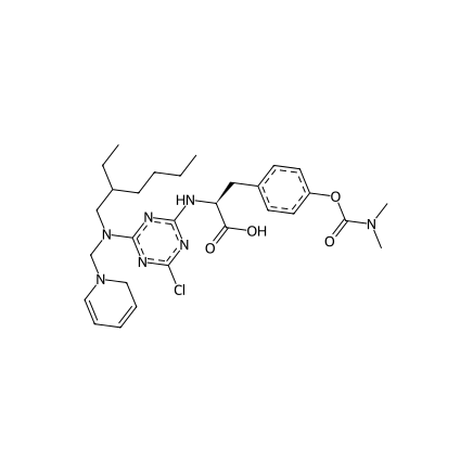 CCCCC(CC)CN(CN1C=CC=CC1)c1nc(Cl)nc(N[C@@H](Cc2ccc(OC(=O)N(C)C)cc2)C(=O)O)n1